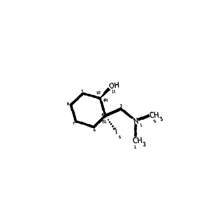 CN(C)C[C@@]1(I)CCCC[C@H]1O